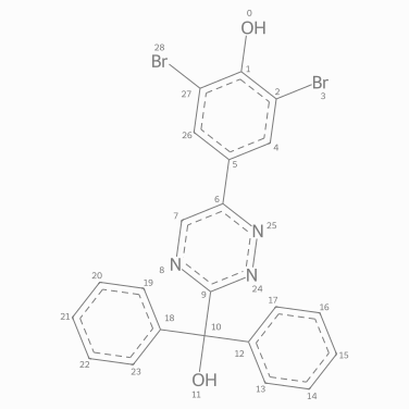 Oc1c(Br)cc(-c2cnc(C(O)(c3ccccc3)c3ccccc3)nn2)cc1Br